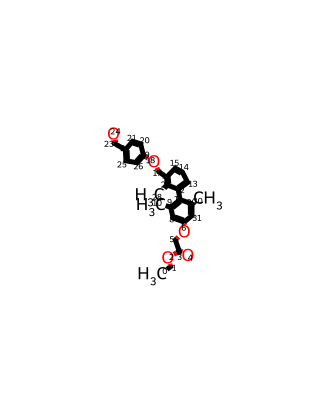 CCOC(=O)COc1cc(C)c(-c2cccc(COc3ccc(C=O)cc3)c2C)c(C)c1